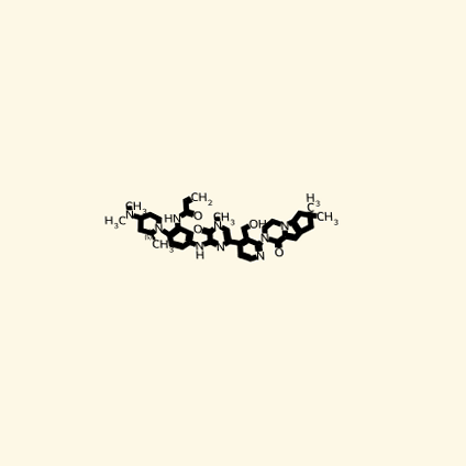 C=CC(=O)Nc1cc(Nc2nc(-c3ccnc(N4CCn5c(cc6c5CC(C)(C)C6)C4=O)c3CO)cn(C)c2=O)ccc1N1CCC(N(C)C)C[C@@H]1C